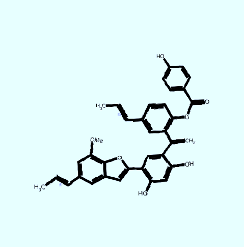 C=C(c1cc(-c2cc3cc(/C=C/C)cc(OC)c3o2)c(O)cc1O)c1cc(/C=C/C)ccc1OC(=O)c1ccc(O)cc1